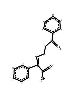 O=C(O)C(=CCCC(=O)c1ccccc1)c1ccccc1